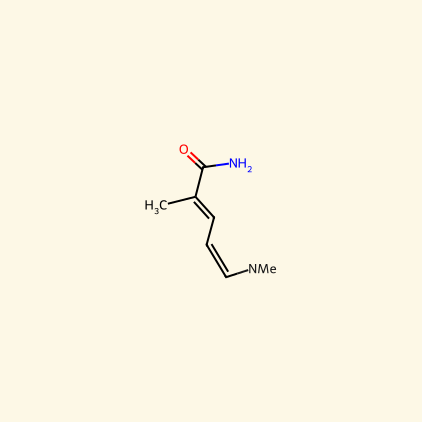 CN/C=C\C=C(/C)C(N)=O